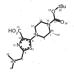 C[C@@H]1CN(c2sc(CN(C)C)nc2C(=O)O)CCN1C(=O)OC(C)(C)C